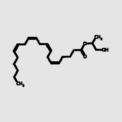 CCCCC/C=C\C/C=C\C/C=C\C/C=C\CCCC(=O)OC(C)CO